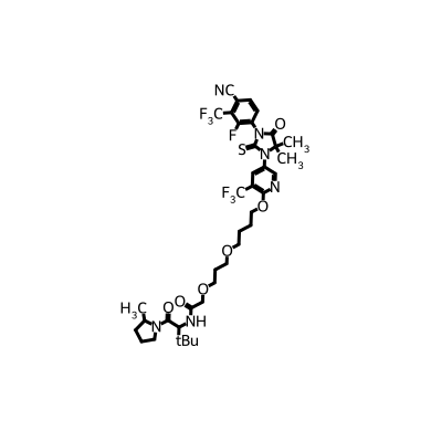 CC1CCCN1C(=O)C(NC(=O)COCCCOCCCCOc1ncc(N2C(=S)N(c3ccc(C#N)c(C(F)(F)F)c3F)C(=O)C2(C)C)cc1C(F)(F)F)C(C)(C)C